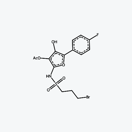 CC(=O)Oc1c(NS(=O)(=O)CCCBr)oc(-c2ccc(F)cc2)c1O